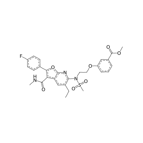 CCc1cc2c(C(=O)NC)c(-c3ccc(F)cc3)oc2nc1N(CCOc1cccc(C(=O)OC)c1)S(C)(=O)=O